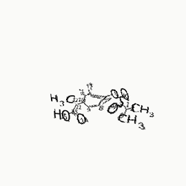 CC(C)S(=O)(=O)Oc1ccc([C@@H](C)C(=O)O)cc1